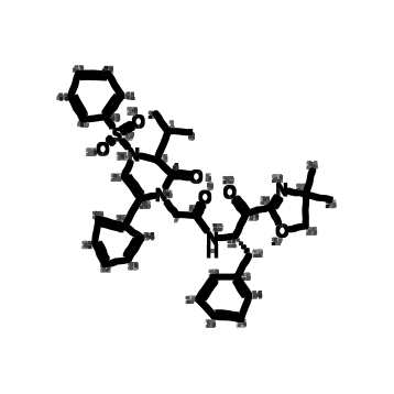 CC(C)C1C(=O)N(CC(=O)N[C@@H](Cc2ccccc2)C(=O)C2=NC(C)(C)CO2)C(c2ccccc2)=CN1S(=O)(=O)c1ccccc1